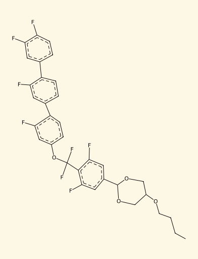 CCCCOC1COC(c2cc(F)c(C(F)(F)Oc3ccc(-c4ccc(-c5ccc(F)c(F)c5)c(F)c4)c(F)c3)c(F)c2)OC1